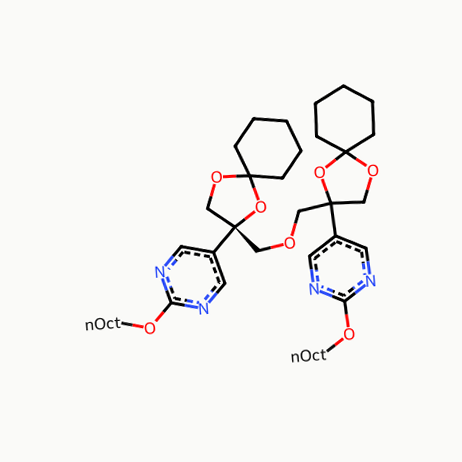 CCCCCCCCOc1ncc(C2(COC[C@@]3(c4cnc(OCCCCCCCC)nc4)COC4(CCCCC4)O3)COC3(CCCCC3)O2)cn1